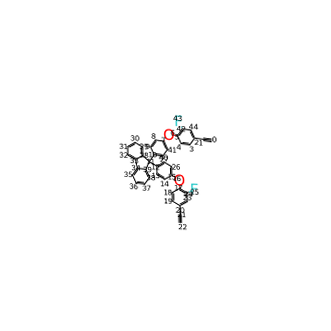 C#Cc1ccc(Oc2ccc(C3(c4ccc(Oc5ccc(C#C)cc5F)cc4)c4ccccc4-c4ccccc43)cc2)c(F)c1